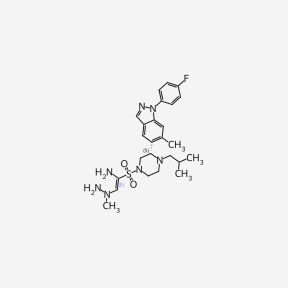 Cc1cc2c(cnn2-c2ccc(F)cc2)cc1[C@H]1CN(S(=O)(=O)/C(N)=C/N(C)N)CCN1CC(C)C